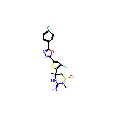 CN1C(=N)N[C@](C)(c2sc(-c3nnc(-c4ccc(Cl)cc4)o3)cc2F)C[S+]1[O-]